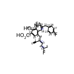 C#C/C(=C\C=C(/C)F)Cc1cc(C(=O)O)c(O)c(N)c1/C=C(\CC)Cc1ccc(F)cc1